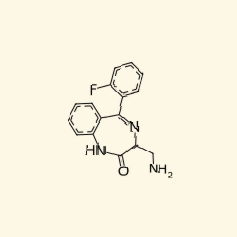 NCC1N=C(c2ccccc2F)c2ccccc2NC1=O